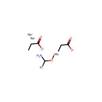 CCC(=O)[O-].CCC(=O)[O-].CCCCOC(N)CC.[Na+].[Na+]